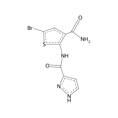 NC(=O)c1cc(Br)sc1NC(=O)c1cc[nH]n1